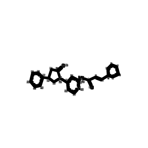 O=C(/C=C/c1ccccc1)Nc1cc(N2CC(c3ccccc3)CC2=O)ccn1